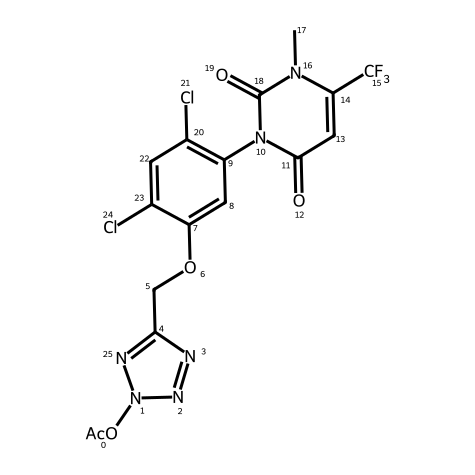 CC(=O)On1nnc(COc2cc(-n3c(=O)cc(C(F)(F)F)n(C)c3=O)c(Cl)cc2Cl)n1